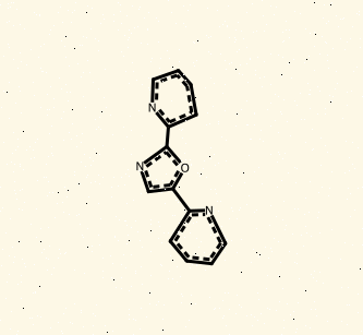 c1ccc(-c2cnc(-c3ccccn3)o2)nc1